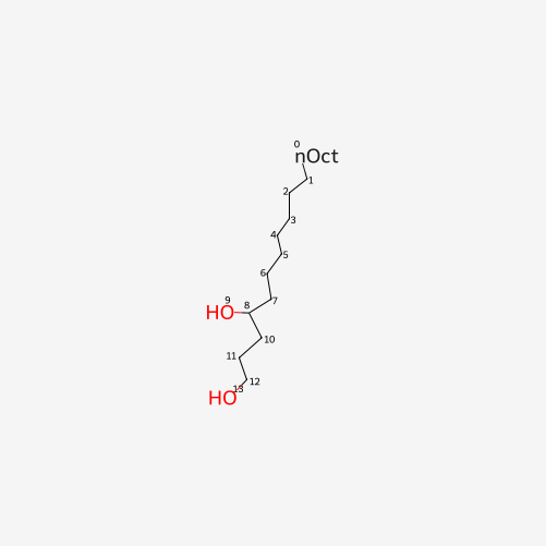 CCCCCCCCCCCCCCCC(O)CCCO